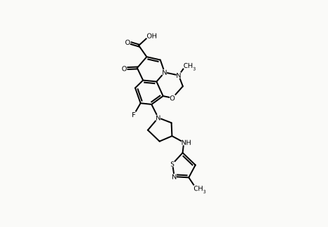 Cc1cc(NC2CCN(c3c(F)cc4c(=O)c(C(=O)O)cn5c4c3OCN5C)C2)sn1